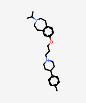 Cc1ccc(C2CCN(CCCOc3ccc4c(c3)CCN(C(C)C)CC4)CC2)cc1